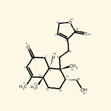 CC1=CC(=O)C[C@H]2[C@](C)(CCC3=CCOC3=O)[C@H](CO)CC[C@]12C